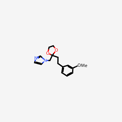 COc1cccc(CCC2(Cn3ccnc3)OCCO2)c1